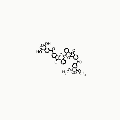 COC(=O)c1ccc(C(=O)c2ccc3c(c2)C(=O)N(c2ccccc2SSc2ccccc2N2C(=O)c4ccc(C(=O)c5ccc(C(=O)O)c(C(=O)O)c5)cc4C2=O)C3=O)cc1C(=O)OC